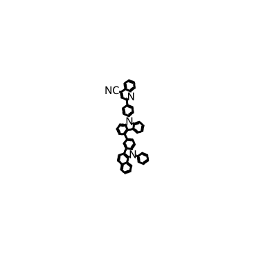 N#Cc1cc(-c2ccc(-n3c4ccccc4c4c(-c5ccc6c(c5)c5ccc7ccccc7c5n6-c5ccccc5)cccc43)cc2)nc2ccccc12